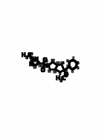 COC1(c2ccccc2)CC2CN(S(=O)(=O)c3cnn(C)n3)CC2C1